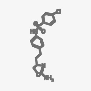 NC1=NC(CCc2ccc(NS(=O)(=O)c3ccc(Cl)cc3)cc2)CO1